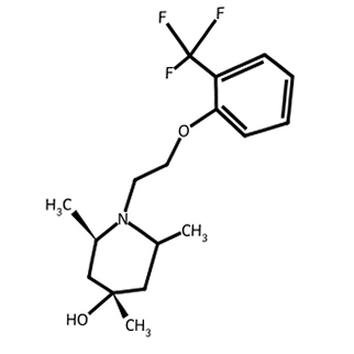 CC1C[C@](C)(O)C[C@@H](C)N1CCOc1ccccc1C(F)(F)F